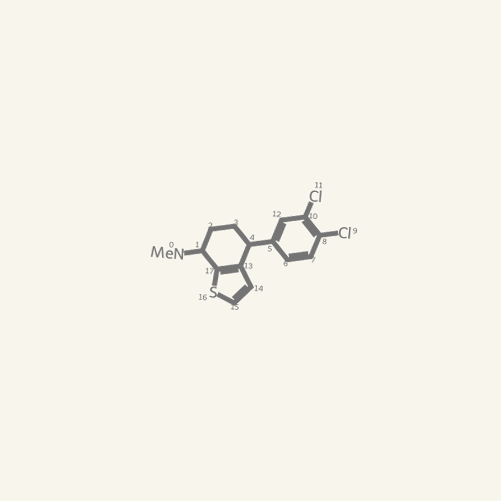 CNC1CCC(c2ccc(Cl)c(Cl)c2)c2ccsc21